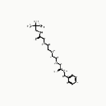 CC(C)(C)CNC(=O)COCCOCCOCC(=O)OCc1ccccc1